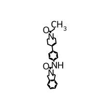 CCC(=O)N1CC=C(c2ccc(NC(=O)N3Cc4ccccc4C3)cc2)CC1